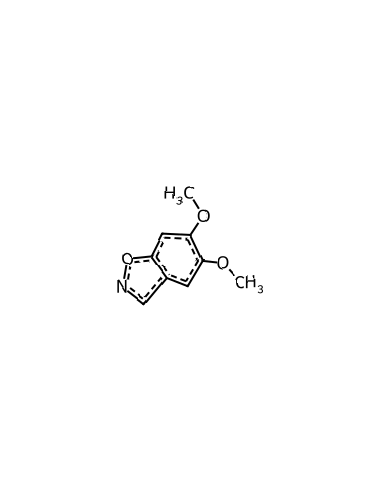 COc1cc2cnoc2cc1OC